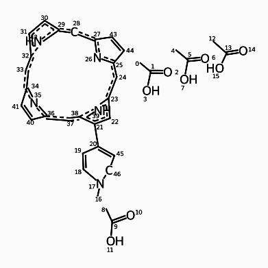 CC(=O)O.CC(=O)O.CC(=O)O.CC(=O)O.CN1C=CC(c2cc3cc4nc(cc5ccc(cc6nc(cc2[nH]3)C=C6)[nH]5)C=C4)=CC1